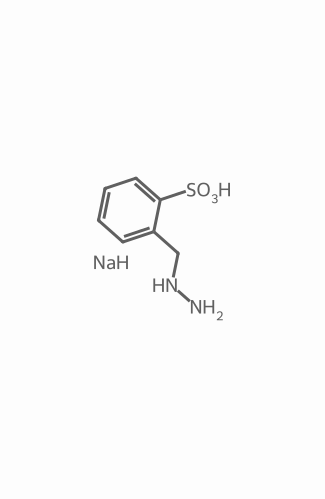 NNCc1ccccc1S(=O)(=O)O.[NaH]